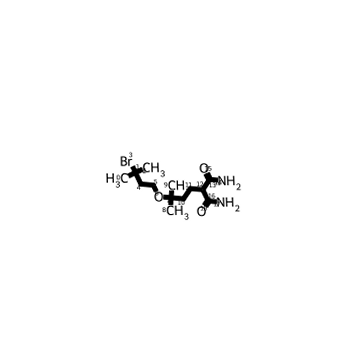 CC(C)(Br)CCOC(C)(C)CCC(C(N)=O)C(N)=O